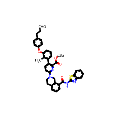 Cc1c(Oc2ccc(CCC=O)cc2)cccc1-c1ccc(N2CCc3cccc(C(=O)Nc4nc5ccccc5s4)c3C2)nc1C(=O)OC(C)(C)C